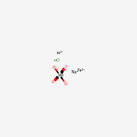 Cl.[Fe+2].[Na+].[Ni+2].[O]=[Mn](=[O])([O-])[O-]